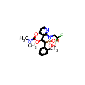 CN(C)C(=O)OC1=C(c2ccccc2C(F)(F)F)S(O)(O)N(CC(F)F)c2ncccc21